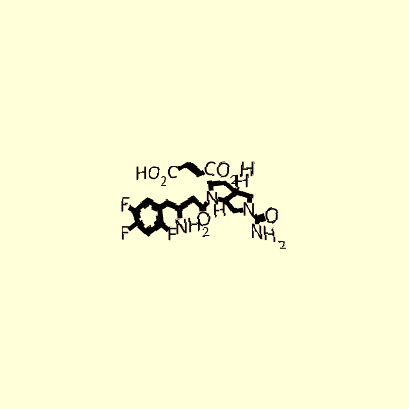 NC(=O)N1C[C@@H]2CCN(C(=O)CC(N)Cc3cc(F)c(F)cc3F)[C@@H]2C1.O=C(O)C=CC(=O)O